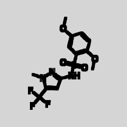 COc1ccc(OC)c(S(=O)(=O)Nc2cc(C(F)(F)F)n(C)n2)c1